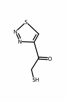 O=C(CS)c1csnn1